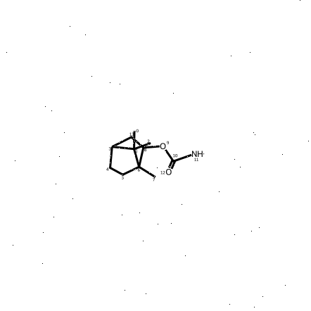 CC1(C)C2CCC1(C)C(OC([NH])=O)C2